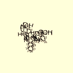 O=C(O)c1cccc(-n2cc(-c3cc4ccccc4cc3-c3cn(-c4cccc(C(=O)O)c4O)nn3)nn2)c1O